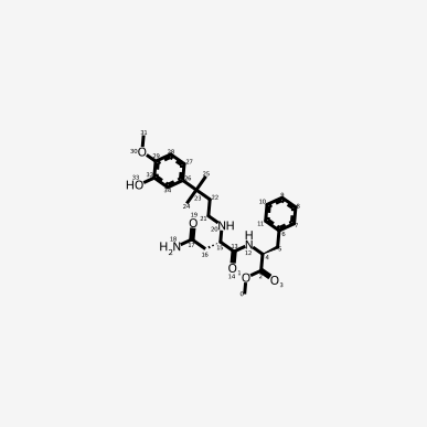 COC(=O)[C@H](Cc1ccccc1)NC(=O)[C@H](CC(N)=O)NCCC(C)(C)c1ccc(OC)c(O)c1